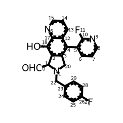 O=CC1c2c(c(-c3cccnc3F)c3cccnc3c2O)CN1Cc1ccc(F)cc1